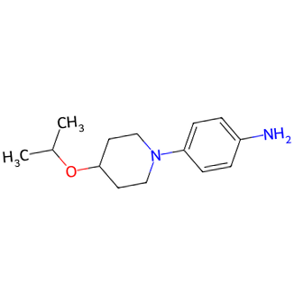 CC(C)OC1CCN(c2ccc(N)cc2)CC1